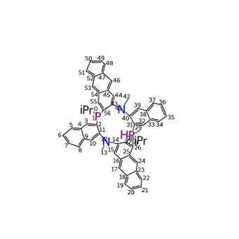 CC(C)P1c2cc3ccccc3cc2N(C)c2cc3cc4ccccc4cc3cc2[PH](C)(C(C)C)c2cc3ccccc3cc2N(C)c2cc3cc4ccccc4cc3cc21